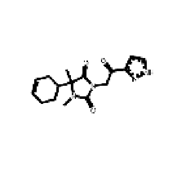 CN1C(=O)N(CC(=O)c2cc[nH]n2)C(=O)C1(C)C1CC=CCC1